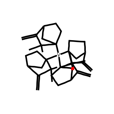 C=C1C2CC[C]([V]([C]34CCC(C3)C(=C)C4(C)C)([C]34CCC(C3)C(=C)C4(C)C)[C]34CCC(C3)C(=C)C4(C)C)(C2)C1(C)C